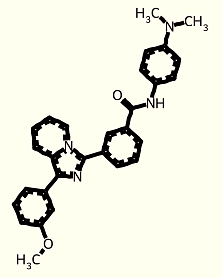 COc1cccc(-c2nc(-c3cccc(C(=O)Nc4ccc(N(C)C)cc4)c3)n3ccccc23)c1